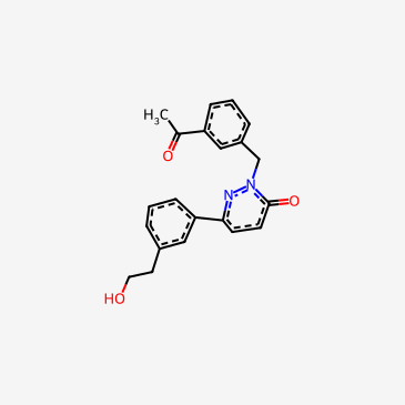 CC(=O)c1cccc(Cn2nc(-c3cccc(CCO)c3)ccc2=O)c1